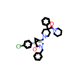 CN(Cc1ccccc1)C(=O)[C@@]1(c2ccc(Cl)cc2)C[C@H]1CN1CCC(C(=O)N2CCCCC2)(c2ccccc2)CC1